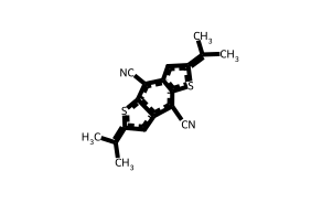 CC(C)=c1cc2c(C#N)c3sc(=C(C)C)cc3c(C#N)c2s1